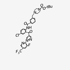 CC(C)(C)OC(=O)N1CCN(Cc2cccc(C(=O)Nc3ccc(Cl)cc3C(=O)c3cnn(-c4ncc(C(F)(F)F)cc4F)c3)c2)CC1